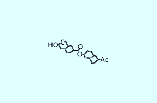 CC(=O)c1ccc2cc(OC(=O)c3ccc4cc(O)ccc4c3)ccc2c1